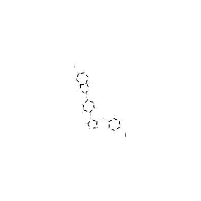 COc1ccc(Nc2cncn2-c2ccc(-c3nc4ccc(OC)cc4s3)cc2)cc1